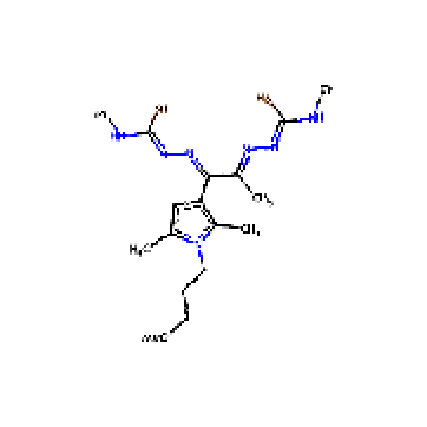 CCN/C(S)=N/N=C(C)/C(=N/N=C(\S)NC(C)C)c1cc(C)n(CCCOC)c1C